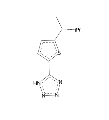 CC(C)C(C)c1ccc(-c2nnn[nH]2)s1